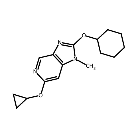 Cn1c(OC2CCCCC2)nc2cnc(OC3CC3)cc21